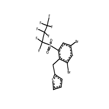 O=S(=O)(c1cc(Br)[c]c(Br)c1Cc1cccs1)C(F)(F)C(F)(F)C(F)(F)F